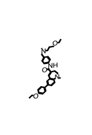 CCOCCCN(C)Cc1ccc(NC(=O)C2=Cc3cc(-c4ccc(OCC)cc4)ccc3N(C)CC2)cc1